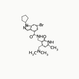 Cc1cc(CN(C)C)c(CNC(=O)c2cc(Br)cc3c2cnn3C2CCCC2)c(=O)[nH]1